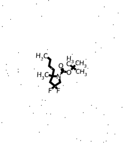 CCCCC1(C)CC(F)(F)CN1C(=O)OC(C)(C)C